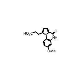 COc1ccc2c(c1)[nH]c(=O)c1ccc(CCC(=O)O)n12